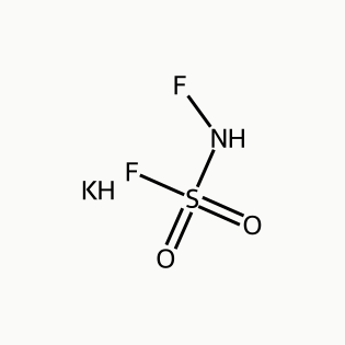 O=S(=O)(F)NF.[KH]